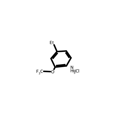 CCc1cccc(OC(F)(F)F)c1.Cl.N